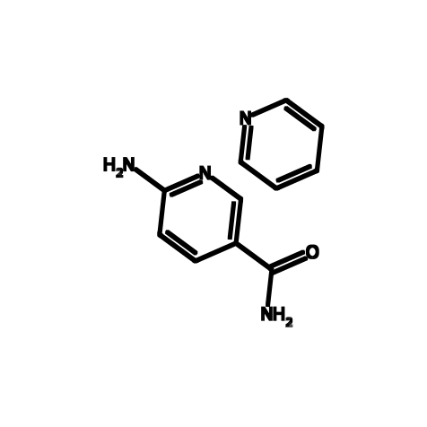 NC(=O)c1ccc(N)nc1.c1ccncc1